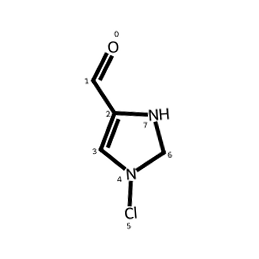 O=CC1=CN(Cl)CN1